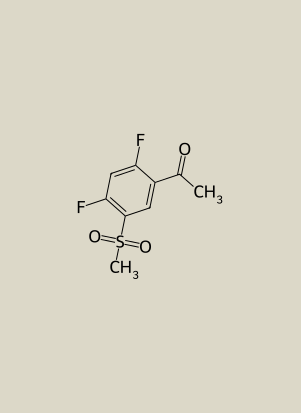 CC(=O)c1cc(S(C)(=O)=O)c(F)cc1F